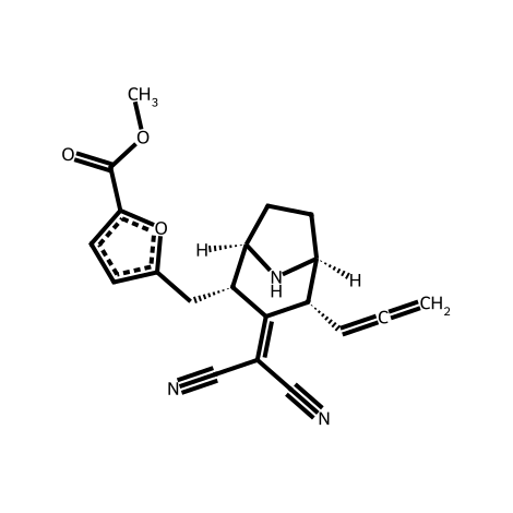 C=C=C[C@@H]1C(=C(C#N)C#N)[C@H](Cc2ccc(C(=O)OC)o2)[C@H]2CC[C@@H]1N2